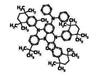 Cc1cc2c(cc1N1c3ccc(C(C)(C)C)cc3B3c4oc5cc6c(cc5c4N(c4ccc5c(c4)C(C)(C)CCC5(C)C)c4cc(N(c5ccccc5)c5ccccc5)cc1c43)C(C)(C)CCC6(C)C)C(C)(C)CCC2(C)C